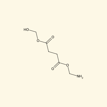 NCOC(=O)CCC(=O)OCO